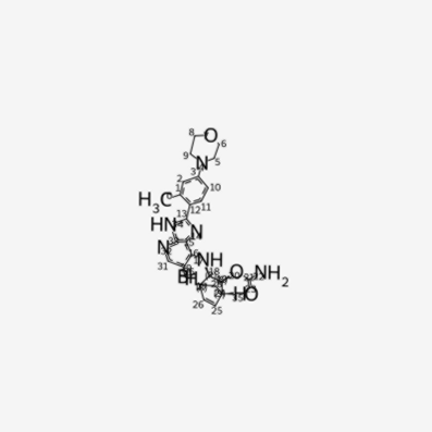 Cc1cc(N2CCOCC2)ccc1-c1nc2c(N[C@H]3[C@@H](OC(N)=O)[C@@H]4C=C[C@H]3C4)c(Br)cnc2[nH]1